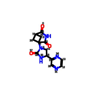 O=C1NC(=O)C2(N3CC(c4cnccn4)NC3=O)CC1C2